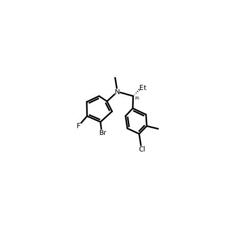 CC[C@H](c1ccc(Cl)c(C)c1)N(C)c1ccc(F)c(Br)c1